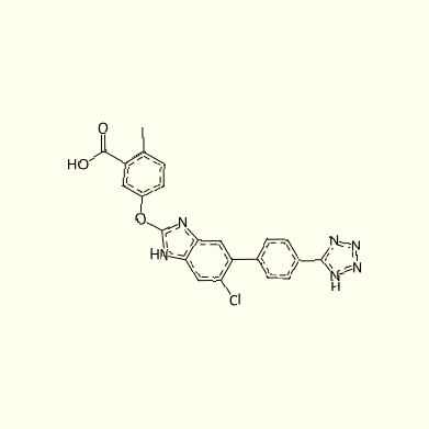 Cc1ccc(Oc2nc3cc(-c4ccc(-c5nnn[nH]5)cc4)c(Cl)cc3[nH]2)cc1C(=O)O